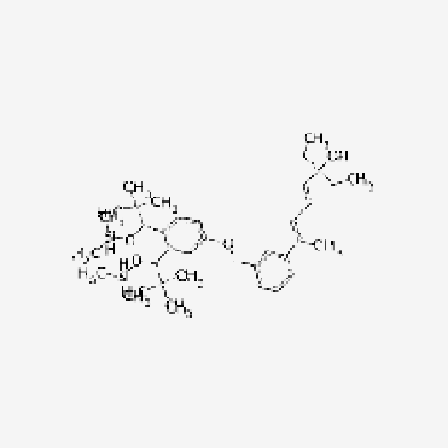 CCC(O)(C=CC=C(C)c1cccc(COc2ccc(C(O[SiH](C)C)C(C)(C)C)c(C(O[SiH](C)C)C(C)(C)C)c2)c1)CC